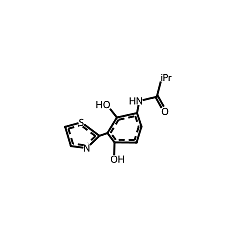 CC(C)C(=O)Nc1ccc(O)c(-c2nccs2)c1O